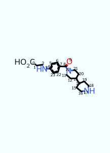 O=C(O)CCNc1ccc(C(=O)N2CCC(C3CCNCC3)CC2)cc1